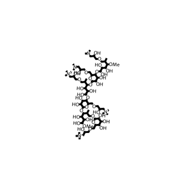 COC(O)C(O)C(O)C(OC1OC(COCC(O)C[N+](C)(C)C)C(OC(O)C(O)C(O)C(OC2OC(COCC(O)CN(C)C)C(OC(O)C(O)C(O)C(OC)C(C)COCC(O)CN(C)C)C(O)C2O)C(C)COCC(O)C[N+](C)(C)C)C(O)C1O)C(C)COC1OC(COCC(O)C[N+](C)(C)C)C(O)C(O)[C@@H]1O